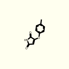 Cc1ccc(OC2=CC(=O)NC2=O)cc1